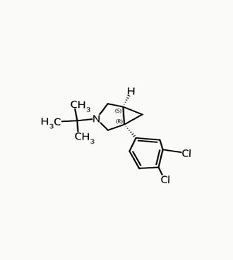 CC(C)(C)N1C[C@H]2C[C@@]2(c2ccc(Cl)c(Cl)c2)C1